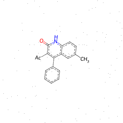 CC(=O)c1c(-c2ccccc2)c2cc(C)ccc2[nH]c1=O